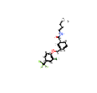 CCCCNC(=O)c1cccc(COc2ccc(C(F)(F)F)cc2Cl)c1